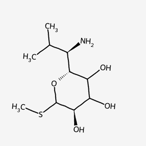 CSC1O[C@H]([C@H](N)C(C)C)C(O)C(O)[C@H]1O